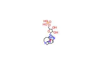 CC12CCCN3CC(C/C=C(C(N)=O)/N=C\N1C1OC(COP(=O)(O)O)C(O)C1O)/C3=N\C2